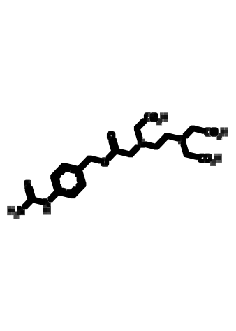 NC(=S)Nc1ccc(COC(=O)CN(CCN(CC(=O)O)CC(=O)O)CC(=O)O)cc1